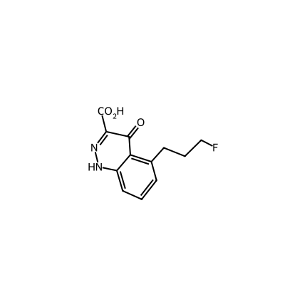 O=C(O)c1n[nH]c2cccc(CCCF)c2c1=O